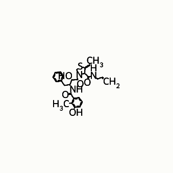 C=CCNC(=O)C1/C(=C/C)SCN1C(=O)C(O)C(Cc1ccccc1)NC(=O)c1cccc(O)c1C